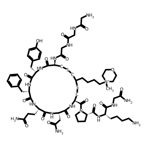 C[N+]1(CCCCC2CSC[C@H](NC(=O)CNC(=O)CNC(=O)CN)C(=O)N[C@@H](Cc3ccc(O)cc3)C(=O)N[C@@H](Cc3ccccc3)C(=O)N[C@@H](CCC(N)=O)C(=O)N[C@@H](CC(N)=O)C(=O)N[C@H](C(=O)N3CCC[C@H]3C(=O)N[C@@H](CCCCN)C(=O)NCC(N)=O)CS2)CCOCC1